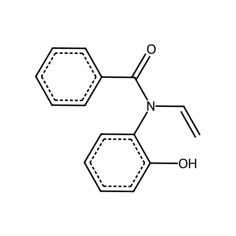 C=CN(C(=O)c1ccccc1)c1ccccc1O